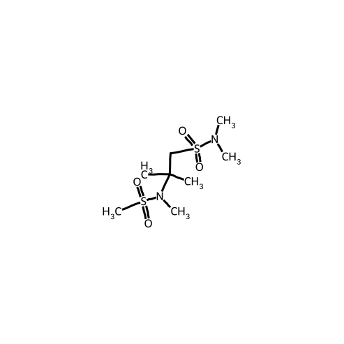 CN(C(C)(C)CS(=O)(=O)N(C)C)S(C)(=O)=O